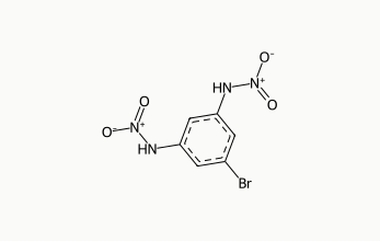 O=[N+]([O-])Nc1cc(Br)cc(N[N+](=O)[O-])c1